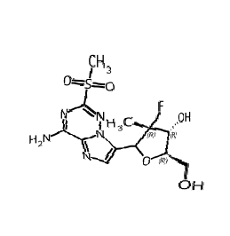 C[C@]1(F)C(c2cnc3c(N)nc(S(C)(=O)=O)nn23)O[C@H](CO)[C@H]1O